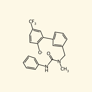 CN(Cc1cccc(-c2cc(C(F)(F)F)ccc2[O])c1)C(=O)Nc1ccccc1